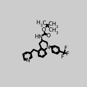 CC(C)(C)OC(=O)NC1Cc2c(Cc3cccnc3)cccc2N(c2ccc(C(F)(F)F)cc2)C1